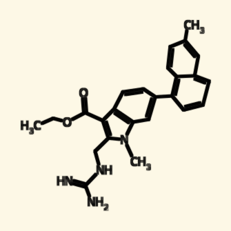 CCOC(=O)c1c(CNC(=N)N)n(C)c2cc(-c3cccc4cc(C)ccc34)ccc12